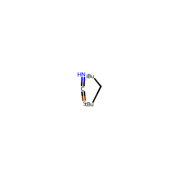 CCC(C)CC(C)(C)C.N=C=S